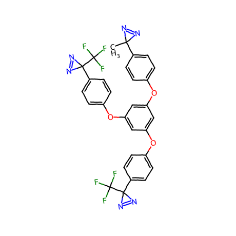 CC1(c2ccc(Oc3cc(Oc4ccc(C5(C(F)(F)F)N=N5)cc4)cc(Oc4ccc(C5(C(F)(F)F)N=N5)cc4)c3)cc2)N=N1